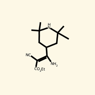 CCOC(=O)C(C#N)=C(N)C1CC(C)(C)NC(C)(C)C1